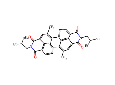 CCCCC(CC)CN1C(=O)c2ccc3c4c(C(F)(F)F)cc5c6c(ccc(c7c(C)cc(c2c37)C1=O)c64)C(=O)N(CC(CC)CCCC)C5=O